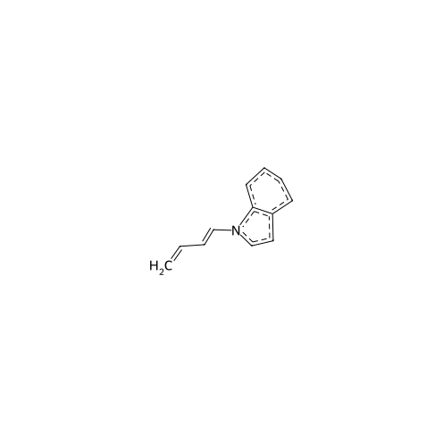 C=CC=Cn1ccc2ccccc21